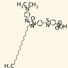 CCCCCCCCCCCCCCCCCC1=NN(c2ccc(-c3nc4cc(S(=O)(=O)O)ccc4s3)cc2)C(=O)/C1=N\c1ccc(N(CC)CC)cc1